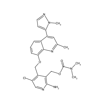 Cc1cc(-c2ccnn2C)c2cccc(OCc3c(Cl)cnc(N)c3COC(=O)N(C)C)c2n1